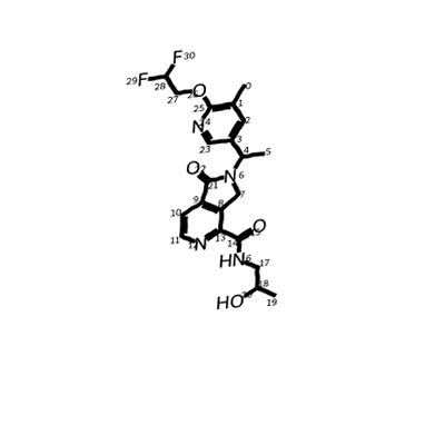 Cc1cc(C(C)N2Cc3c(ccnc3C(=O)NCC(C)O)C2=O)cnc1OCC(F)F